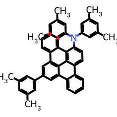 Cc1cc(C)cc(-c2cc3c4ccccc4c4ccc(N(c5cc(C)cc(C)c5)c5cc(C)cc(C)c5)c5c6ccccc6c(c2)c3c45)c1